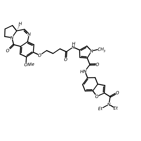 CCN(CC)C(=O)C1=CC2CC(NC(=O)c3cc(NC(=O)CCCOc4cc5c(cc4OC)C(=O)N4CCC[C@H]4C=N5)cn3C)=CC=C2O1